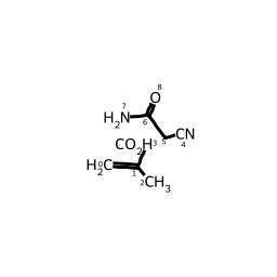 C=C(C)C(=O)O.N#CCC(N)=O